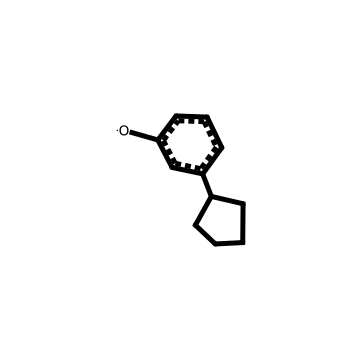 [O]c1cccc(C2CCCC2)c1